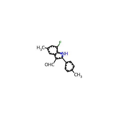 Cc1ccc(-c2[nH]c3c(F)cc(C)cc3c2C=O)cc1